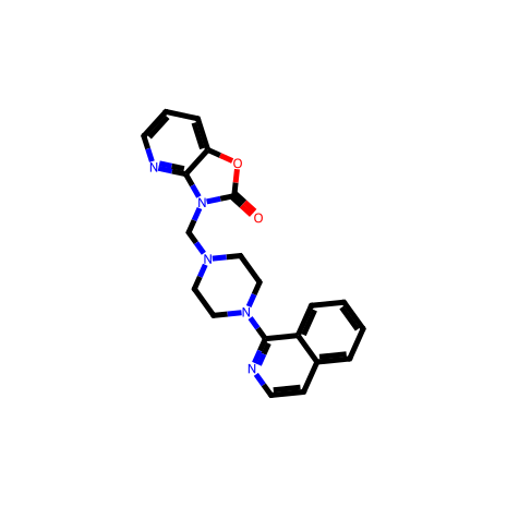 O=c1oc2cccnc2n1CN1CCN(c2nccc3ccccc23)CC1